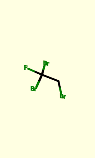 FC(Br)(Br)CBr